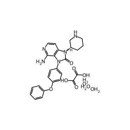 Nc1nccc2c1n(-c1ccc(Oc3ccccc3)cc1)c(=O)n2[C@@H]1CCCNC1.O.O.O.O=C(O)C(=O)O